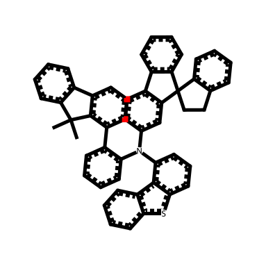 CC1(C)c2ccccc2-c2cccc(-c3ccccc3N(c3ccc4c(c3)C3(CCc5ccccc53)c3ccccc3-4)c3cccc4sc5ccccc5c34)c21